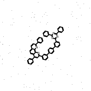 c1ccc(-c2ccc3ccc4c(-c5ccccc5)cc(-c5cccc(-c6ccc(-c7cccc(-c8nc(-c9ccccc9)nc(-c9ccccc9)n8)c7)cc6)c5)nc4c3n2)cc1